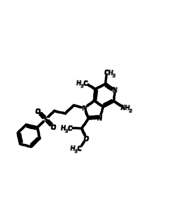 COC(C)c1nc2c(N)nc(C)c(C)c2n1CCCS(=O)(=O)c1ccccc1